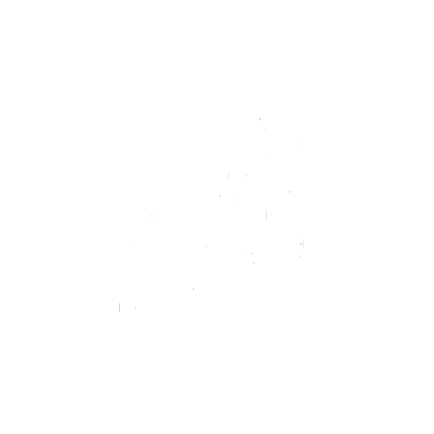 CC(C=O)CCOP(=O)(O)OP(=O)(O)O